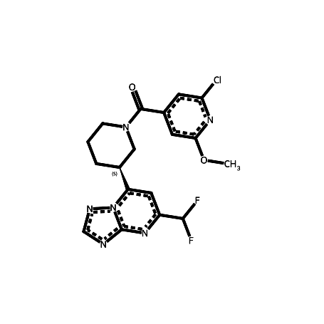 COc1cc(C(=O)N2CCC[C@H](c3cc(C(F)F)nc4ncnn34)C2)cc(Cl)n1